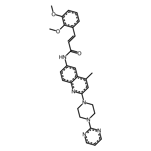 COc1cccc(/C=C/C(=O)Nc2ccc3nc(N4CCN(c5ncccn5)CC4)cc(C)c3c2)c1OC